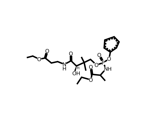 CCOC(=O)CCNC(=O)[C@H](O)C(C)(C)COP(=O)(NC(C)C(=O)OCC)Oc1ccccc1